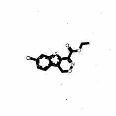 CCOC(=O)C1=NOCc2c1sc1cc(Cl)ccc21